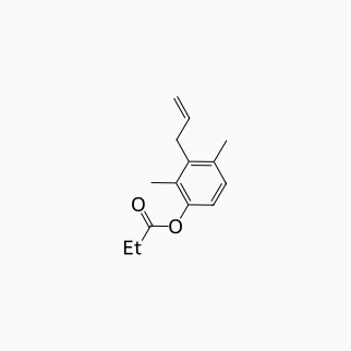 C=CCc1c(C)ccc(OC(=O)CC)c1C